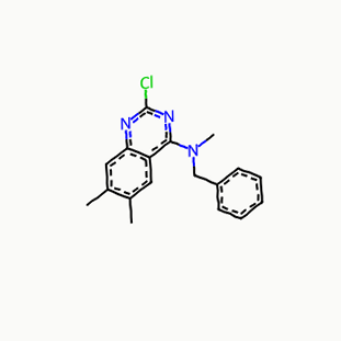 Cc1cc2nc(Cl)nc(N(C)Cc3ccccc3)c2cc1C